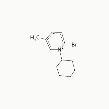 Cc1ccc[n+](C2CCCCC2)c1.[Br-]